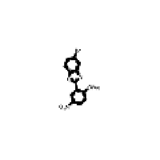 COc1ccc([N+](=O)[O-])cc1-c1nc2cc(Br)ccc2o1